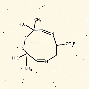 CCOC(=O)C1CN=CC(C)(C)SSC(C)(C)C=N1